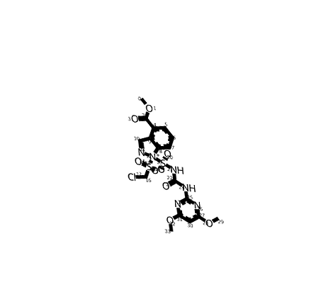 COC(=O)c1cccc2c1C=N[N+]2(S(=O)(=O)CCl)S(=O)(=O)NC(=O)Nc1nc(OC)cc(OC)n1